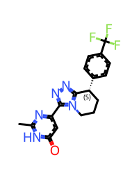 Cc1nc(-c2nnc3n2CCC[C@H]3c2ccc(C(F)(F)F)cc2)cc(=O)[nH]1